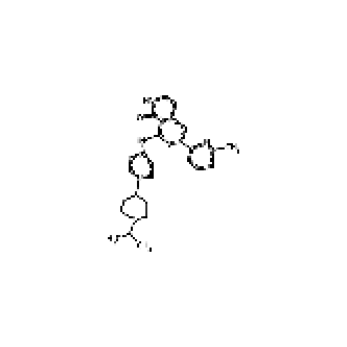 Cc1cccc(-c2cc3cc[nH]c(=O)c3c(Nc3ccc(C4CCN(C(C)C)CC4)cc3)n2)n1